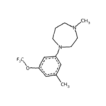 Cc1cc(OC(F)(F)F)cc(N2CCCN(C)CC2)c1